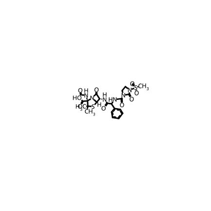 CC1(C)S[C@@H]2[C@@H](NC(=O)C(NC(=O)N3CCN(S(C)(=O)=O)C3=O)c3ccccc3)C(=O)N2[C@@]1(NC=O)C(=O)O